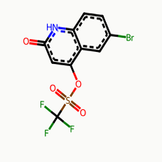 O=c1cc(OS(=O)(=O)C(F)(F)F)c2cc(Br)ccc2[nH]1